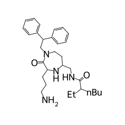 CCCCC(CC)C(=O)NCC1CCN(CC(c2ccccc2)c2ccccc2)C(=O)C(CCCN)N1